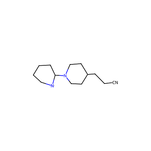 N#CCCC1CCN(C2CCCC[N]2)CC1